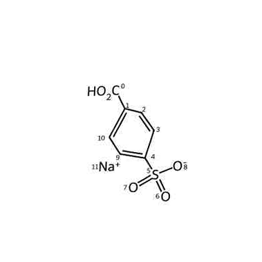 O=C(O)c1ccc(S(=O)(=O)[O-])cc1.[Na+]